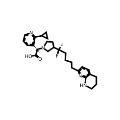 O=C(O)[C@H](c1cccnc1C1CC1)N1CCC(C(F)(F)CCCCc2ccc3c(n2)NCCC3)C1